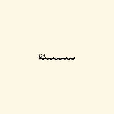 C=CCCCCCCCCCCCCCCC(=C)O